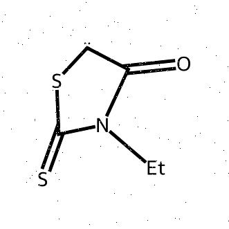 CCN1C(=O)[C]SC1=S